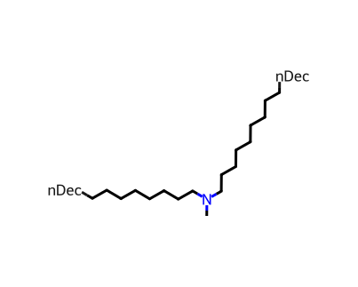 CCCCCCCCCCCCCCCCCCCN(C)CCCCCCCCCCCCCCCCCC